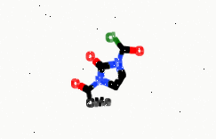 COC(=O)n1ccn(C(=O)Cl)c1=O